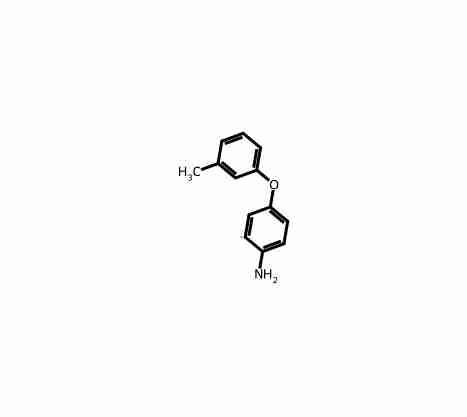 Cc1cccc(Oc2c[c]c(N)cc2)c1